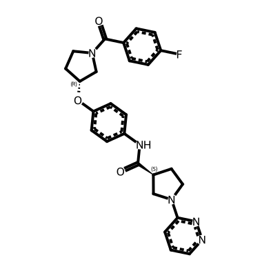 O=C(Nc1ccc(O[C@@H]2CCN(C(=O)c3ccc(F)cc3)C2)cc1)[C@H]1CCN(c2cccnn2)C1